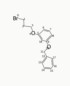 BrCCCOc1cccc(OCc2ccccc2)c1